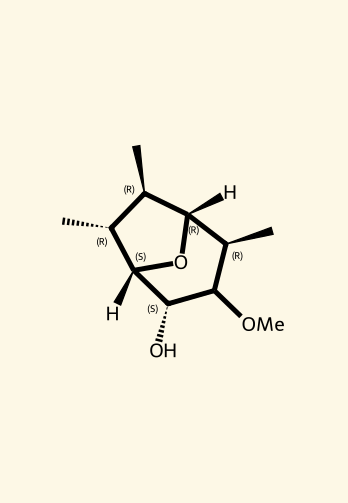 COC1[C@H](C)[C@@H]2O[C@@H]([C@H](C)[C@H]2C)[C@H]1O